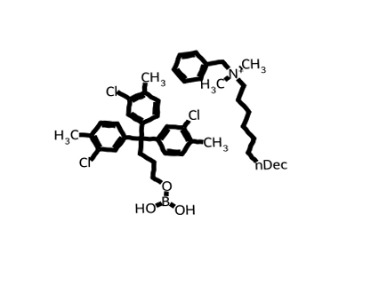 CCCCCCCCCCCCCCCC[N+](C)(C)Cc1ccccc1.Cc1ccc(C(CCCOB(O)O)(c2ccc(C)c(Cl)c2)c2ccc(C)c(Cl)c2)cc1Cl